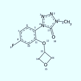 Cn1nnn(-c2ccc(F)cc2OC2COC2)c1=O